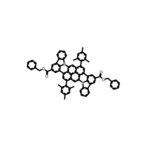 Cc1cc(C)c(-c2cc3c4c(cc5c(-c6c(C)cc(C)cc6C)cc6c7c(cc2c4c57)B2c4ccccc4-c4cc(C(=O)OCc5ccccc5)cc-6c42)B2c4ccccc4-c4cc(C(=O)OCc5ccccc5)cc-3c42)c(C)c1